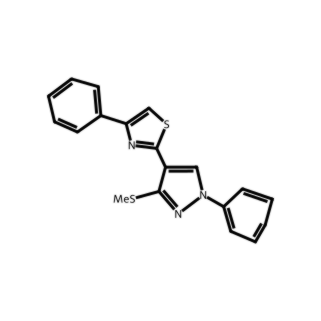 CSc1nn(-c2ccccc2)cc1-c1nc(-c2ccccc2)cs1